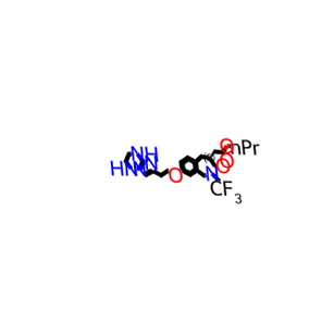 CCCOC(=O)C[C@@H]1Cc2ccc(OCCc3cn4c(n3)NCCN4)cc2CN(CC(F)(F)F)C1=O